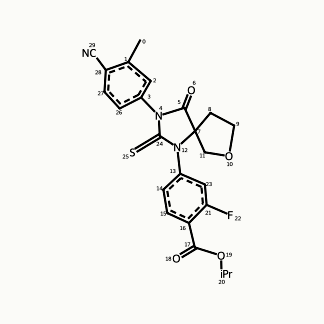 Cc1cc(N2C(=O)C3(CCOC3)N(c3ccc(C(=O)OC(C)C)c(F)c3)C2=S)ccc1C#N